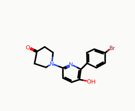 O=C1CCN(c2ccc(O)c(-c3ccc(Br)cc3)n2)CC1